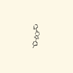 Cc1ccc(-c2nc3c(o2)CCN(c2ccccn2)C3)cc1